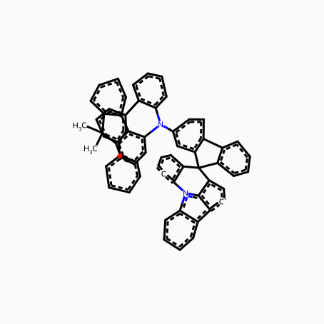 CC1(C)c2ccccc2-c2c(N(c3ccc4c(c3)C3(c5ccccc5-4)c4ccccc4-n4c5ccccc5c5cccc3c54)c3ccccc3-c3cccc(-c4ccccc4)c3)cccc21